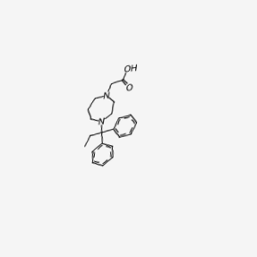 CCC(c1ccccc1)(c1ccccc1)N1CCCN(CC(=O)O)CC1